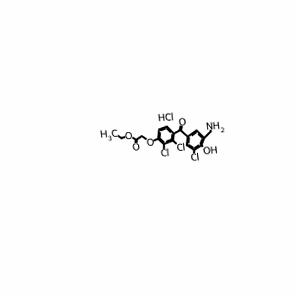 CCOC(=O)COc1ccc(C(=O)c2cc(Cl)c(O)c(CN)c2)c(Cl)c1Cl.Cl